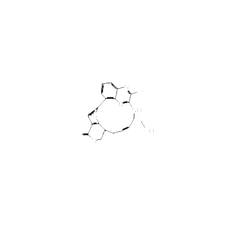 Cc1nc2cccc3c2nc1N[C@H](CO)/C=C\C[C@H]1CNC(=O)c2cc-3[nH]c21